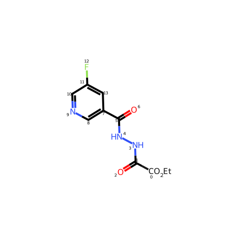 CCOC(=O)C(=O)NNC(=O)c1cncc(F)c1